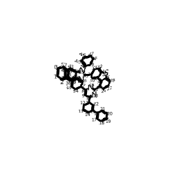 c1ccc(-c2ccc(-c3cc(-c4cccc(-c5ccccc5)c4)nc(-c4cccc5sc6ccc(-c7nc8ccccc8n7-c7ccccc7)cc6c45)n3)cc2)cc1